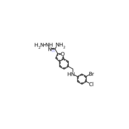 NN/N=C(\N)c1cc2ccc(CNc3ccc(Cl)c(Br)c3)cc2o1